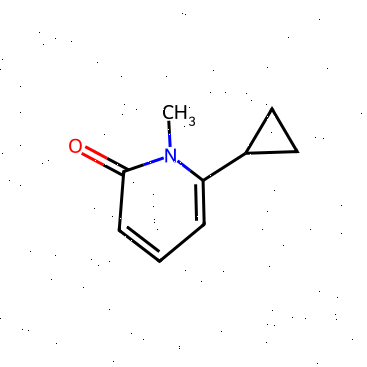 Cn1c(C2CC2)cccc1=O